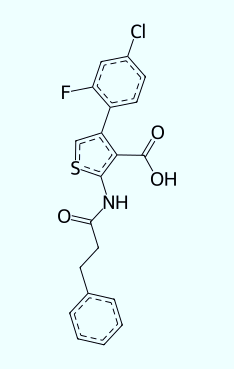 O=C(CCc1ccccc1)Nc1scc(-c2ccc(Cl)cc2F)c1C(=O)O